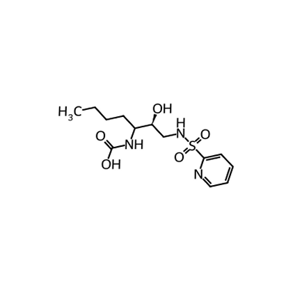 CCCCC(NC(=O)O)[C@@H](O)CNS(=O)(=O)c1ccccn1